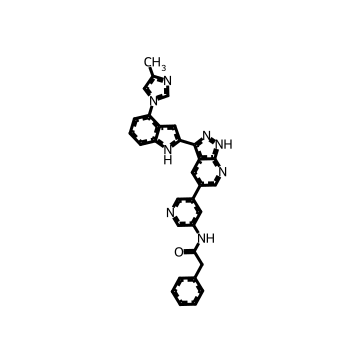 Cc1cn(-c2cccc3[nH]c(-c4n[nH]c5ncc(-c6cncc(NC(=O)Cc7ccccc7)c6)cc45)cc23)cn1